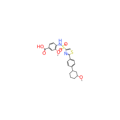 COc1cc(C(=O)O)ccc1NS(=O)(=O)c1csc(-c2ccc(C3CCCC(OC)C3)cc2)n1